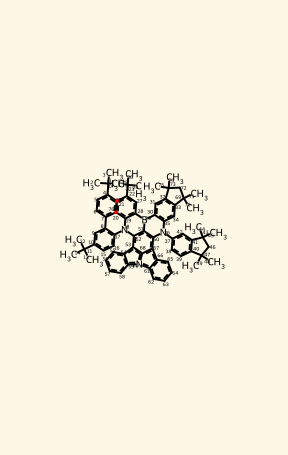 CC(C)(C)c1ccc(-c2cc(C(C)(C)C)ccc2N2c3ccc(C(C)(C)C)cc3B3c4cc5c(cc4N(c4ccc6c(c4)C(C)(C)CC6(C)C)c4c3c2c2c3ccccc3n3c6ccccc6c4c23)C(C)(C)CC5(C)C)cc1